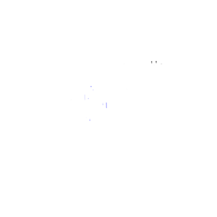 COc1ccc(-c2nc3[nH]c(-c4ccccc4)cc(=O)n3n2)cc1